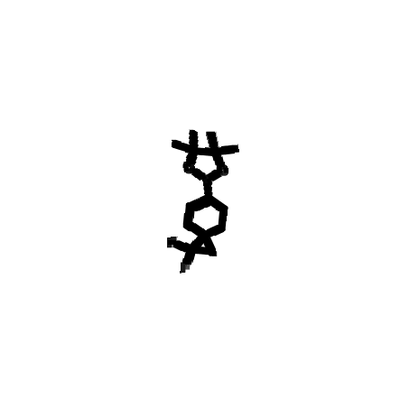 CC1(C)OB(C2=CCC3(CC2)CC3(F)F)OC1(C)C